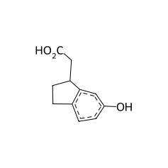 O=C(O)CC1CCc2ccc(O)cc21